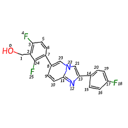 OCc1c(F)ccc(-c2ccc3nc(-c4ccc(F)cc4)cn3c2)c1F